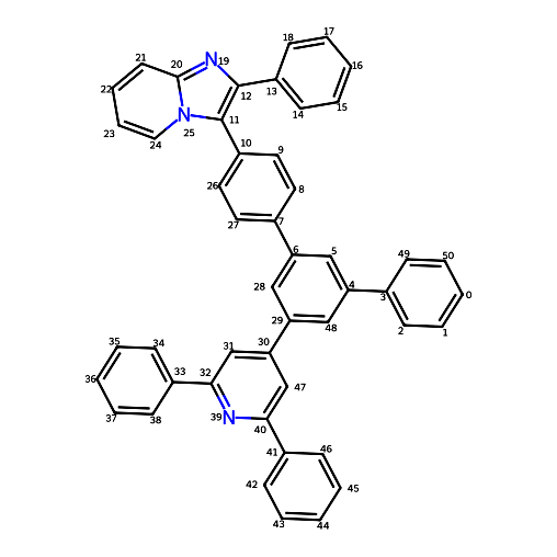 c1ccc(-c2cc(-c3ccc(-c4c(-c5ccccc5)nc5ccccn45)cc3)cc(-c3cc(-c4ccccc4)nc(-c4ccccc4)c3)c2)cc1